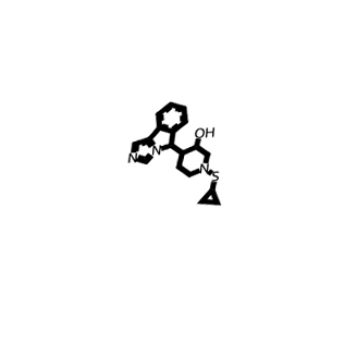 OC1CN(SC2CC2)CCC1C1c2ccccc2-c2cncn21